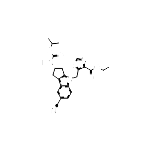 CCOC(=O)c1ncsc1Cn1c2c(c3cc(C#N)ccc31)C[C@H](NC(=O)OC(C)C)C2